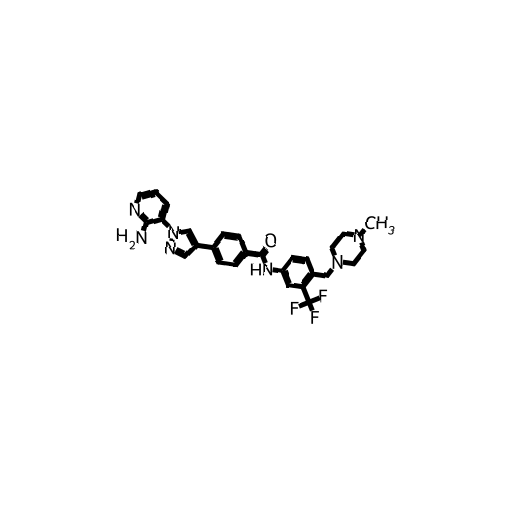 CN1CCN(Cc2ccc(NC(=O)c3ccc(-c4cnn(-c5cccnc5N)c4)cc3)cc2C(F)(F)F)CC1